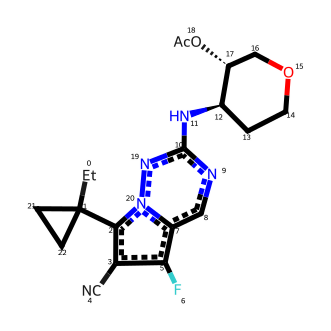 CCC1(c2c(C#N)c(F)c3cnc(N[C@@H]4CCOC[C@H]4OC(C)=O)nn23)CC1